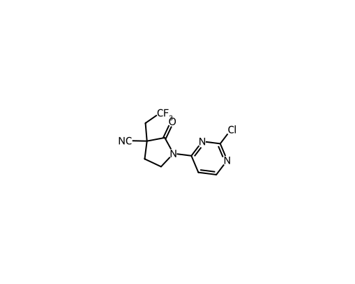 N#CC1(CC(F)(F)F)CCN(c2ccnc(Cl)n2)C1=O